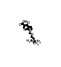 C[Si](C)(C)CCOCn1ccc2c(Cl)c(C(=O)O)cnc21